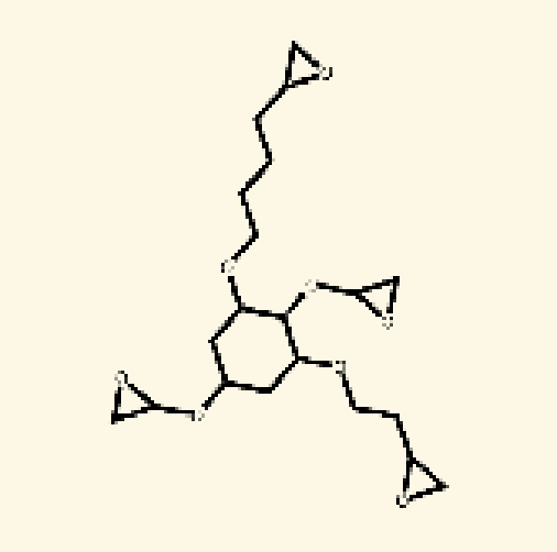 C(CCC1CO1)COC1CC(OC2CO2)CC(OCCC2CO2)[C@@H]1OC1CO1